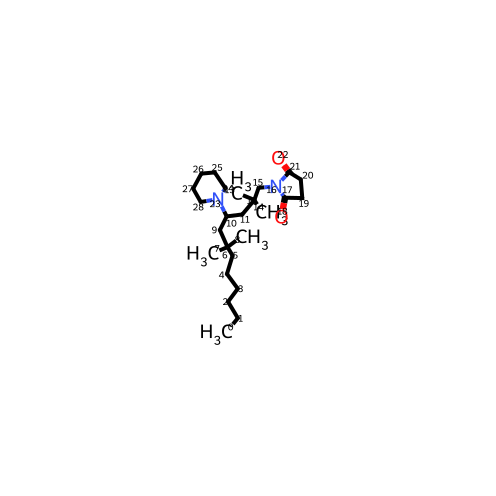 CCCCCCC(C)(C)CC(CC(C)(C)CN1C(=O)CCC1=O)N1CCCCC1